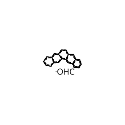 O=[C]c1cccc2cc3ccc4cc5ccccc5cc4c3cc12